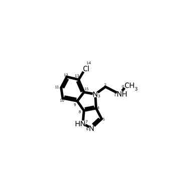 CNCn1c2cn[nH]c2c2cccc(Cl)c21